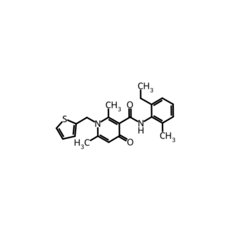 CCc1cccc(C)c1NC(=O)c1c(C)n(Cc2cccs2)c(C)cc1=O